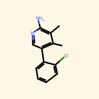 Cc1c(-c2ccccc2Cl)cnc(N)c1C